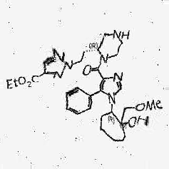 CCOC(=O)c1cnn(CC[C@@H]2CNCCN2C(=O)c2ncn([C@@H]3CCCC[C@@]3(O)COC)c2-c2ccccc2)n1